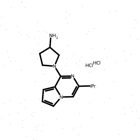 CC(C)c1cn2cccc2c(N2CCC(N)C2)n1.Cl.Cl